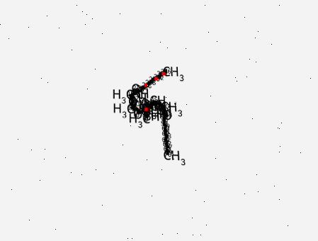 CBc1cc(C(=O)NCC(C)(C)COCC(C)(C)CNC(=O)CCCCCCCCCCCCCCC)cc(C(=O)NCC(C)(C)COCC(C)(C)CNC(=O)CCCCCCCCCCCCCCC)c1